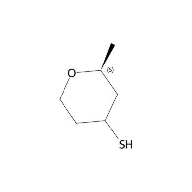 C[C@H]1CC(S)CCO1